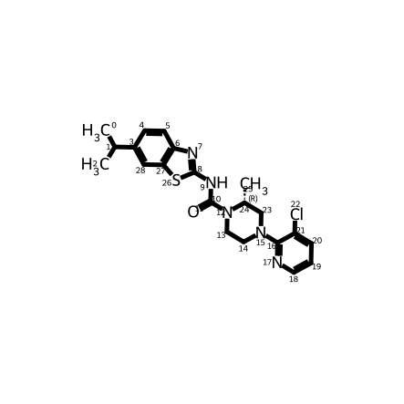 CC(C)c1ccc2nc(NC(=O)N3CCN(c4ncccc4Cl)C[C@H]3C)sc2c1